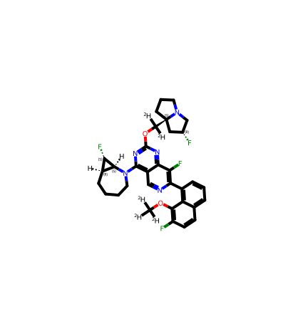 [2H]C([2H])([2H])Oc1c(F)ccc2cccc(-c3ncc4c(N5CCCC[C@H]6[C@H](F)[C@H]65)nc(OC([2H])([2H])[C@@]56CCCN5C[C@H](F)C6)nc4c3F)c12